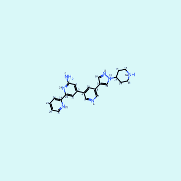 Nc1cc(-c2cncc(-c3cnn(C4CCNCC4)c3)c2)cc(-c2ccccn2)n1